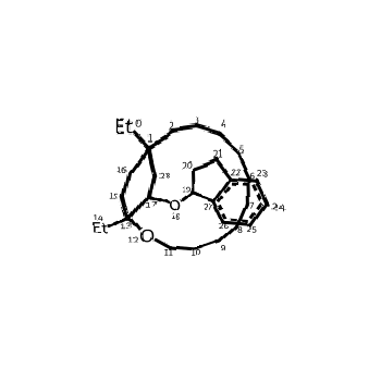 CCC12CCCCCCCCCCOC(CC)(CC1)C(OC1CCc3ccccc31)C2